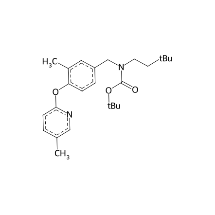 Cc1ccc(Oc2ccc(CN(CCC(C)(C)C)C(=O)OC(C)(C)C)cc2C)nc1